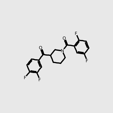 O=C(c1ccc(F)c(F)c1)C1CCCN(C(=O)c2cc(F)ccc2F)C1